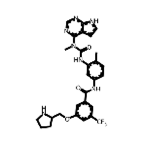 Cc1ccc(NC(=O)c2cc(OCC3CCCN3)cc(C(F)(F)F)c2)cc1NC(=O)N(C)c1ncnc2[nH]ccc12